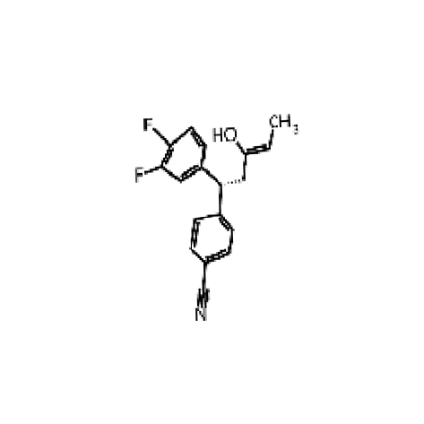 CC=C(O)C[C@H](c1ccc(C#N)cc1)c1ccc(F)c(F)c1